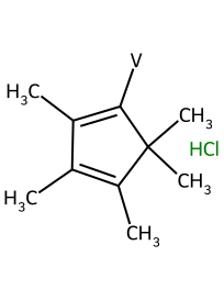 CC1=C(C)C(C)(C)[C]([V])=C1C.Cl